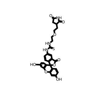 O=C1CC(CCOCCNC(=S)Nc2ccc3c(c2)C(=O)OC32c3ccc(O)cc3Oc3cc(O)ccc32)C(=O)N1